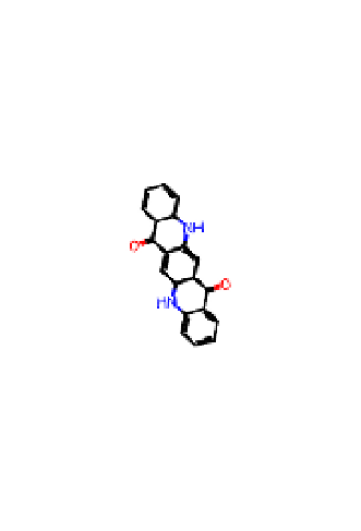 O=C1C2=CC3Nc4ccccc4C(=O)C3C=C2NC2C=CC=CC12